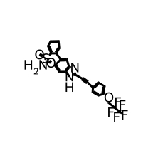 NS(=O)(=O)c1ccccc1-c1ccc2[nH]c(C#Cc3ccc(OCC(F)(F)C(F)(F)F)cc3)nc2c1